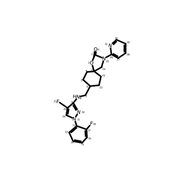 O=C1OC2(CCC(CNc3nn(-c4ccccc4F)cc3F)CC2)CN1c1ccccn1